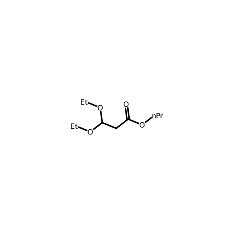 CCCOC(=O)CC(OCC)OCC